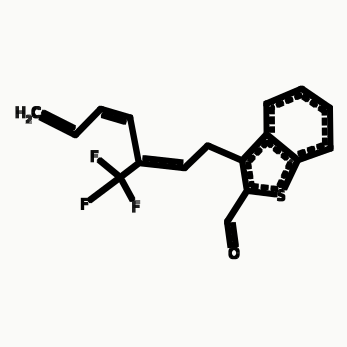 C=C/C=C\C(=C/Cc1c(C=O)sc2ccccc12)C(F)(F)F